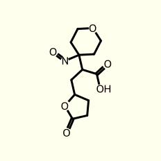 O=NC1(C(CC2CCC(=O)O2)C(=O)O)CCOCC1